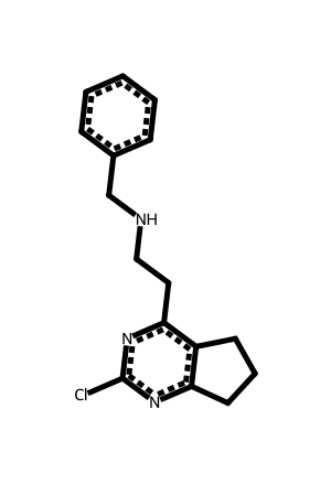 Clc1nc2c(c(CCNCc3ccccc3)n1)CCC2